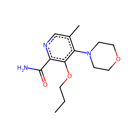 CCCOc1c(C(N)=O)ncc(C)c1N1CCOCC1